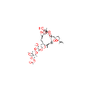 CCC(C)[C@H]1O[C@]2(C=C[C@@H]1C)C[C@@H]1C[C@@H](C/C=C(\C)[C@@H](O[C@H]3C[C@H](OC)[C@@H](O[C@H]4C[C@H](OC)[C@@]5(C[C@H](OC(C)=O)OC5C)[C@H](C)O4)[C@H](C)O3)C(C)/C=C/C=C3\CO[C@@H]4[C@H](O)C(C)=C[C@@H](C(=O)O1)[C@]34O)O2